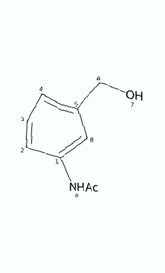 [CH2]C(=O)Nc1cccc(CO)c1